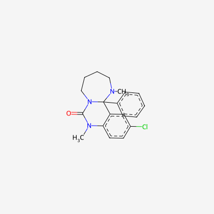 CN1C(=O)N2CCCCN(C)C2(c2ccccc2)c2cc(Cl)ccc21